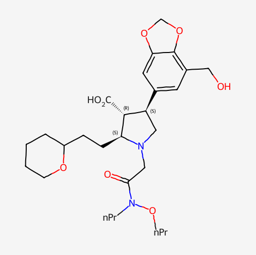 CCCON(CCC)C(=O)CN1C[C@H](c2cc(CO)c3c(c2)OCO3)[C@@H](C(=O)O)[C@@H]1CCC1CCCCO1